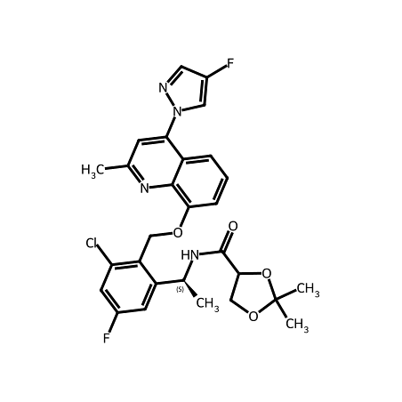 Cc1cc(-n2cc(F)cn2)c2cccc(OCc3c(Cl)cc(F)cc3[C@H](C)NC(=O)C3COC(C)(C)O3)c2n1